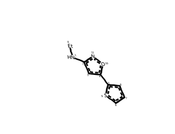 CCNc1cc(-c2cccs2)on1